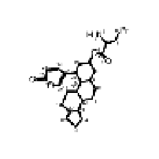 CC(C)CC(N)C(=O)OC1CC2CCC3C4CCCC4CCC3C2C(c2ccc(=O)oc2)C1